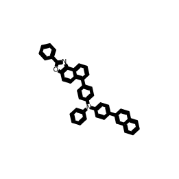 c1ccc(-c2nc3c(ccc4c(-c5ccc(N(c6ccccc6)c6ccc(-c7ccc8ccccc8c7)cc6)cc5)cccc43)o2)cc1